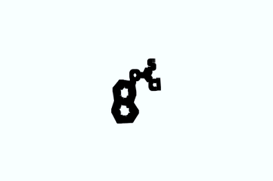 S=C(Cl)Oc1ccc2ccccc2c1